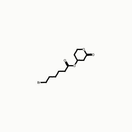 O=C1CC(OC(=O)CCCCCBr)C[CH]O1